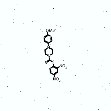 COc1ccc(N2CCN(C(=S)Sc3ccc([N+](=O)[O-])cc3[N+](=O)[O-])CC2)cc1